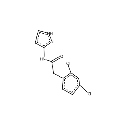 O=C(Cc1ccc(Cl)cc1Cl)Nc1cc[nH]n1